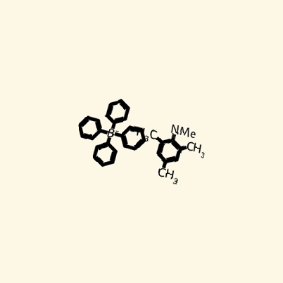 C[NH2+]c1c(C)cc(C)cc1C.c1ccc([B-](c2ccccc2)(c2ccccc2)c2ccccc2)cc1